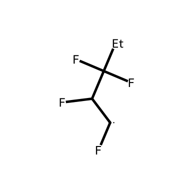 CCC(F)(F)C(F)[CH]F